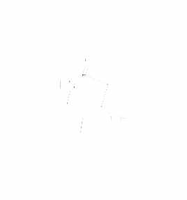 CCC1CNC(=O)CC1O